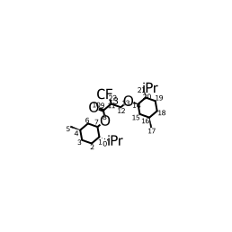 CC(C)[C@@H]1CC[C@@H](C)CC1OC(=O)C(CO[C@@H]1C[C@H](C)CC[C@H]1C(C)C)C(F)(F)F